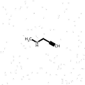 C#C[CH]NC